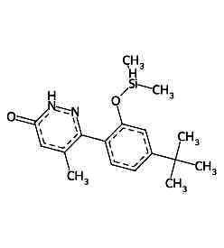 Cc1cc(=O)[nH]nc1-c1ccc(C(C)(C)C)cc1O[SiH](C)C